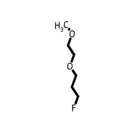 COCCOCCCF